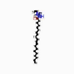 CCCCCCCCCCCCCCCCCCCC(=O)N[N+](C)(C)CC